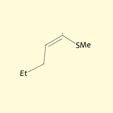 CCC/C=[C]\SC